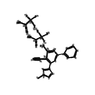 Cn1cnc(-c2cc(-c3ccccc3)nc(N)c2C#N)c1.O=C(O)C(F)(F)F.O=C(O)C(F)(F)F